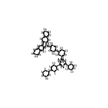 c1ccc(-c2ccc(-c3nc(-c4ccccc4)nc(-c4cccc(-c5ccc(-n6c7cc8ccccc8cc7c7cc8ccccc8cc76)cc5)c4)n3)cc2)cc1